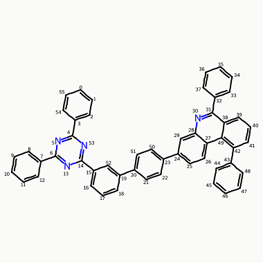 c1ccc(-c2nc(-c3ccccc3)nc(-c3cccc(-c4ccc(-c5ccc6c(c5)nc(-c5ccccc5)c5cccc(-c7ccccc7)c56)cc4)c3)n2)cc1